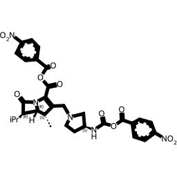 CC(C)[C@H]1C(=O)N2C(C(=O)OC(=O)c3ccc([N+](=O)[O-])cc3)=C(CN3CC[C@H](NC(=O)OC(=O)c4ccc([N+](=O)[O-])cc4)C3)[C@H](C)[C@H]12